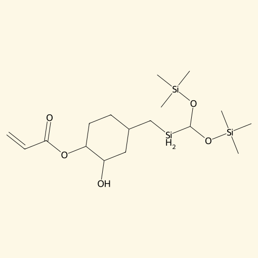 C=CC(=O)OC1CCC(C[SiH2]C(O[Si](C)(C)C)O[Si](C)(C)C)CC1O